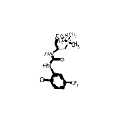 C[N+](C)(C)C[C@@H](CC(=O)O)NC(=O)Nc1cc(C(F)(F)F)ccc1Cl